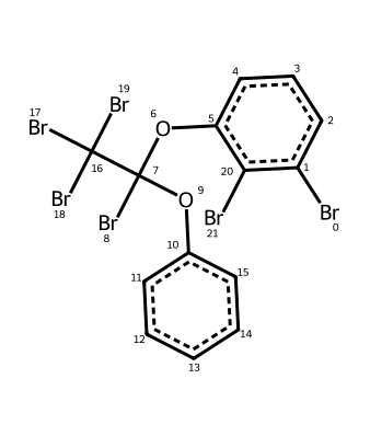 Brc1cccc(OC(Br)(Oc2ccccc2)C(Br)(Br)Br)c1Br